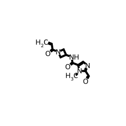 C=CC(=O)N1CC(NC(=O)c2cnc(C=O)n2C)C1